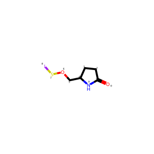 O=C1CCC(COSI)N1